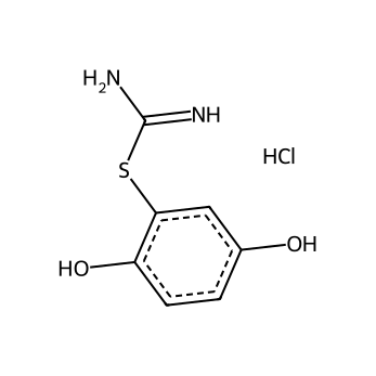 Cl.N=C(N)Sc1cc(O)ccc1O